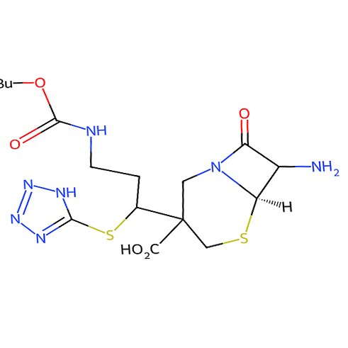 CC(C)(C)OC(=O)NCCC(Sc1nnn[nH]1)C1(C(=O)O)CS[C@@H]2C(N)C(=O)N2C1